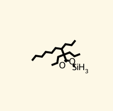 CCCCCCC(CCC)C(CCC)(CCC)C(=O)O[SiH3]